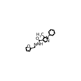 Cc1c(C(=O)NN=Cc2ccco2)cnn1-c1ccccc1